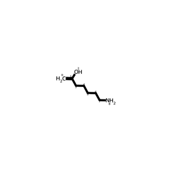 C=C(O)CCCCCN